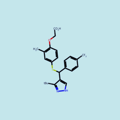 Cc1cc(SC(c2ccc(C(F)(F)F)cc2)c2c[nH]nc2C(C)(C)C)ccc1OCC(=O)O